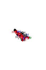 CCC(C)C(C(CC(=O)N1CCC[C@H]1C(OC)C(C)C(=O)NC(Cc1ccccc1)C(=O)O)OC)N(C)C(=O)C(NC(=O)[C@@H]1[C@H]2CC[C@H](C2)N1C(=O)CCCCCNC(=O)CBr)C(C)C